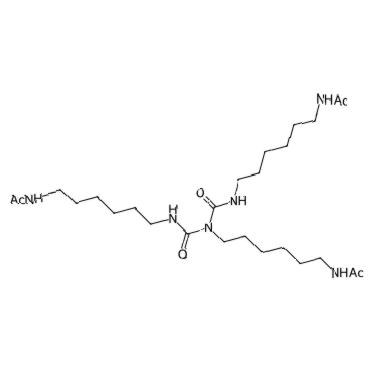 CC(=O)NCCCCCCNC(=O)N(CCCCCCNC(C)=O)C(=O)NCCCCCCNC(C)=O